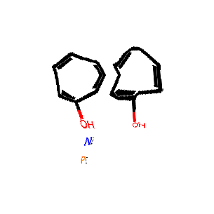 Oc1ccccc1.Oc1ccccc1.[N].[P]